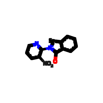 O=c1c2ccccc2[se]n1-c1ncccc1[N+](=O)[O-]